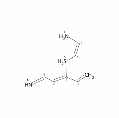 C=C/C(=C/C=N)[SiH2]/C=C\N